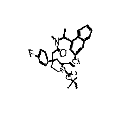 C=CC1CC(CC(=O)N(C)C(C)c2cc(Cl)cc3ccccc23)(c2ccc(F)cc2)CCN1C(=O)OC(C)(C)C